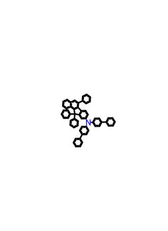 c1ccc(-c2ccc(N(c3ccc(-c4ccccc4)cc3)c3ccc4c(c3)C(c3ccccc3)(c3ccccc3)c3c-4c(-c4ccccc4)cc4ccccc34)cc2)cc1